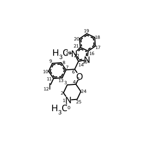 CN1CCC(OC(c2cccc(I)c2)c2nc3ccccc3n2C)CC1